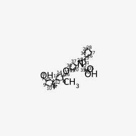 Cc1cc(-c2cc(CO)ccc2F)ccc1COc1ccc(N2C[C@H](c3ccccc3)C[C@@H]2CC(=O)O)cc1